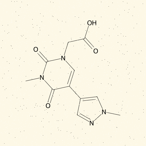 Cn1cc(-c2cn(CC(=O)O)c(=O)n(C)c2=O)cn1